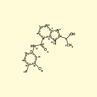 CC(O)c1nc2nccc(C(=O)Nc3ccc(F)c(Cl)c3)c2[nH]1